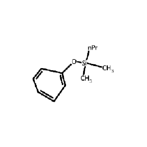 CCC[Si](C)(C)Oc1ccccc1